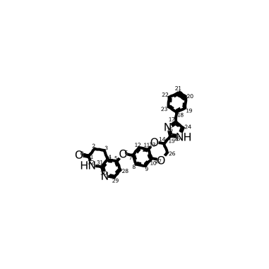 O=C1CCc2c(Oc3ccc4c(c3)OC(c3nc(-c5cc#ccc5)c[nH]3)CO4)ccnc2N1